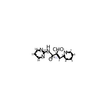 O=[C]/C(=C\c1ccccn1)C(=O)Nc1ncccn1